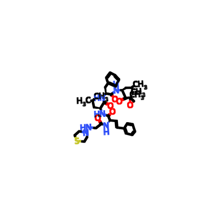 CC(C)C[C@H](NC(=O)[C@H](/C=C/c1ccccc1)NC(=O)CNN1CCSCC1)C(=O)N[C@@H](Cc1ccccc1)C(=O)N[C@@H](CC(C)C)C(=O)[C@@]1(C)CO1